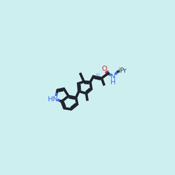 C/C(=C\c1cc(C)c(-c2cccc3[nH]ccc23)cc1C)C(=O)NC(C)C